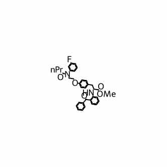 CCCC(=O)N(CCOc1ccc(CC(Nc2ccccc2C(=O)c2ccccc2)C(=O)OC)cc1)c1cccc(F)c1